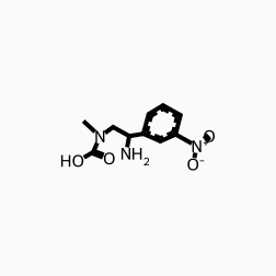 CN(CC(N)c1cccc([N+](=O)[O-])c1)C(=O)O